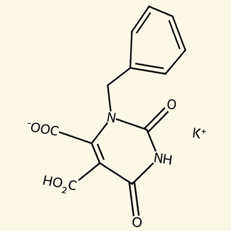 O=C(O)c1c(C(=O)[O-])n(Cc2ccccc2)c(=O)[nH]c1=O.[K+]